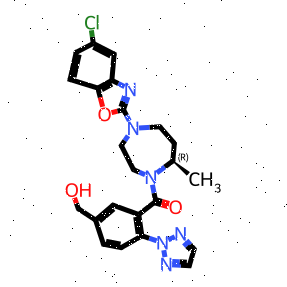 C[C@@H]1CCN(c2nc3cc(Cl)ccc3o2)CCN1C(=O)c1cc(CO)ccc1-n1nccn1